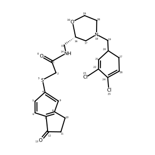 O=C(CSc1ccc2c(c1)CCC2=O)NC[C@H]1CN(CC2C=C(Cl)C(Cl)=CC2)CCO1